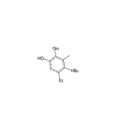 CCCCc1c(CC)cc(O)c(O)c1C